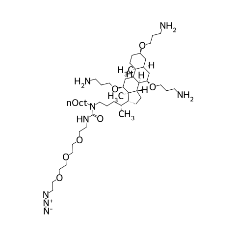 CCCCCCCCN(CCC[C@@H](C)[C@H]1CC[C@H]2[C@@H]3[C@H](OCCCN)C[C@@H]4C[C@H](OCCCN)CC[C@]4(C)[C@H]3C[C@H](OCCCN)[C@]12C)C(=O)NCCOCCOCCOCCN=[N+]=[N-]